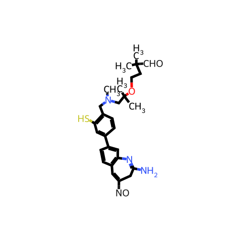 CN(Cc1ccc(-c2ccc3c(c2)N=C(N)CC(N=O)=C3)cc1S)CC(C)(C)OCCC(C)(C)C=O